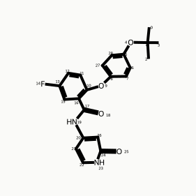 CC(C)(C)Oc1ccc(Oc2ccc(F)cc2C(=O)Nc2cc[nH]c(=O)c2)cc1